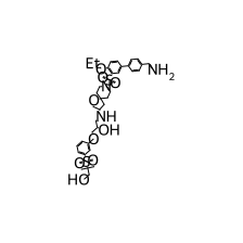 CCOc1ccc(-c2ccc(CN)cc2)cc1S(=O)(=O)N1CCC2(CC1)CC(NCC(O)COc1cccc(S(=O)(=O)C(C)(C)CO)c1)CO2